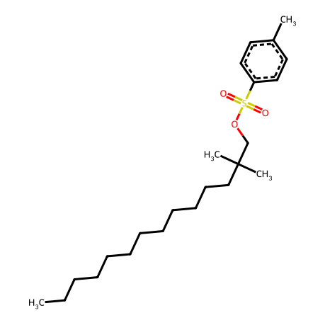 CCCCCCCCCCCCC(C)(C)COS(=O)(=O)c1ccc(C)cc1